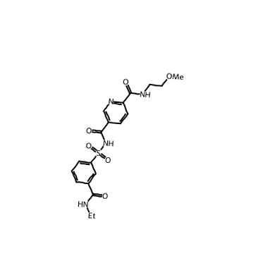 CCNC(=O)c1cccc(S(=O)(=O)NC(=O)c2ccc(C(=O)NCCOC)nc2)c1